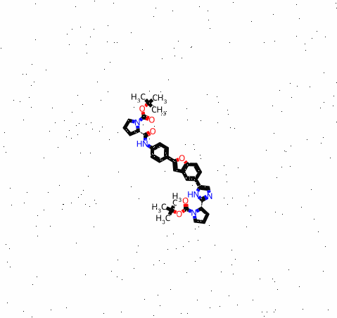 CC(C)(C)OC(=O)N1CCC[C@H]1C(=O)Nc1ccc(-c2cc3cc(-c4cnc([C@@H]5CCCN5C(=O)OC(C)(C)C)[nH]4)ccc3o2)cc1